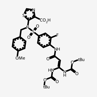 COc1ccc(CN(c2scnc2C(=O)O)S(=O)(=O)c2ccc(NC(=O)C=C(NC(=O)OC(C)(C)C)NC(=O)OC(C)(C)C)c(F)c2)cc1